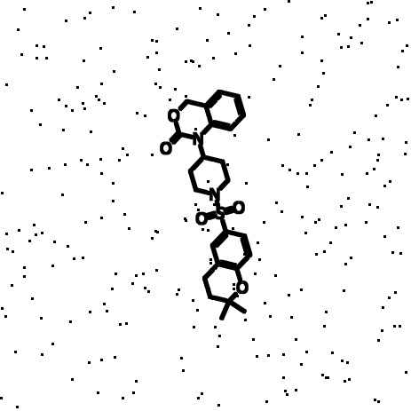 CC1(C)CCc2cc(S(=O)(=O)N3CCC(N4C(=O)OCc5ccccc54)CC3)ccc2O1